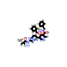 Cc1ncc(-c2ccc3nc(NC(=O)C(C)(C)C#N)cn3n2)cc1C(=O)NCc1ccccc1Sc1ccccc1CO